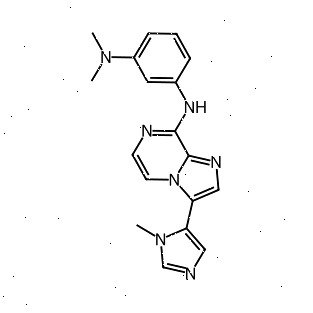 CN(C)c1cccc(Nc2nccn3c(-c4cncn4C)cnc23)c1